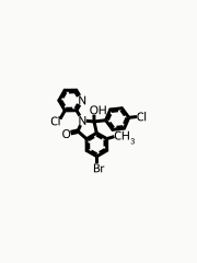 Cc1cc(Br)cc2c1C(O)(c1ccc(Cl)cc1)N(c1ncccc1Cl)C2=O